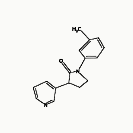 Cc1cccc(N2CCC(c3cccnc3)C2=O)c1